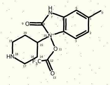 Cc1ccc2c(c1)NC(=O)[N+]2(OC(=O)C(F)(F)F)C1CCNCC1